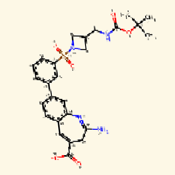 CC(C)(C)OC(=O)NCC1CN(S(=O)(=O)c2cccc(-c3ccc4c(c3)N=C(N)CC(C(=O)O)=C4)c2)C1